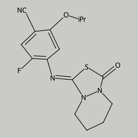 CC(C)Oc1cc(N=c2sc(=O)n3n2CCCC3)c(F)cc1C#N